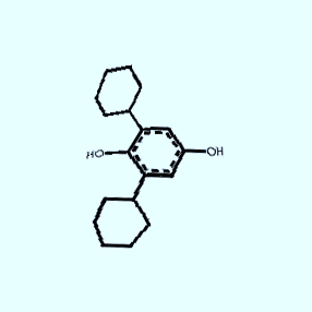 Oc1cc(C2CCCCC2)c(O)c(C2CCCCC2)c1